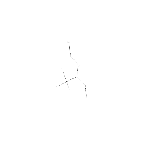 FCOC(CF)C(F)(F)F